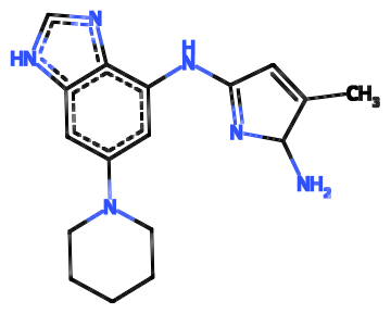 CC1=CC(Nc2cc(N3CCCCC3)cc3[nH]cnc23)=NC1N